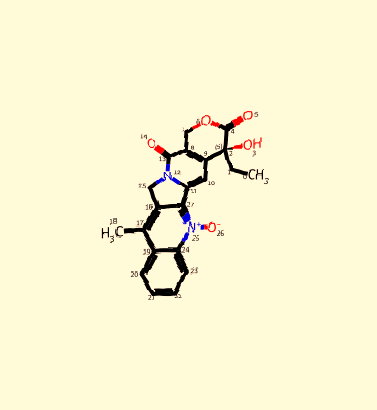 CC[C@@]1(O)C(=O)OCc2c1cc1n(c2=O)Cc2c(C)c3ccccc3[n+]([O-])c2-1